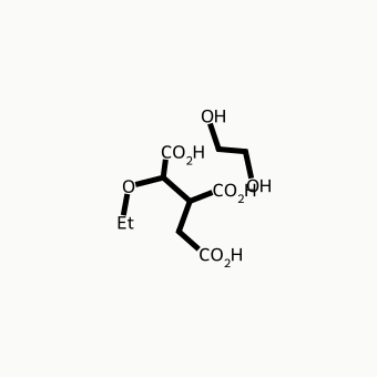 CCOC(C(=O)O)C(CC(=O)O)C(=O)O.OCCO